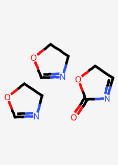 C1=NCCO1.C1=NCCO1.O=C1N=CCO1